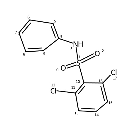 O=S(=O)(Nc1cc[c]cc1)c1c(Cl)cccc1Cl